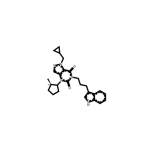 C[C@@H]1CCCC1n1c(=O)n(CCCc2c[nH]c3ccccc23)c(=O)c2c1cnn2CC1CC1